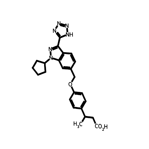 CC(CC(=O)O)c1ccc(OCc2ccc3c(-c4nnn[nH]4)nn(C4CCCC4)c3c2)cc1